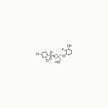 N#Cc1cccc(OCC2(CO)CN(S(=O)(=O)c3ccc(Cl)cc3Cl)C2)c1F